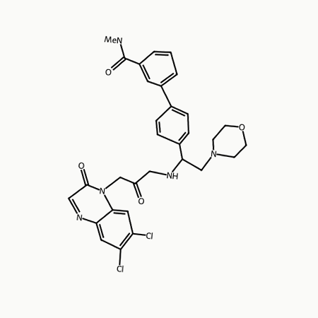 CNC(=O)c1cccc(-c2ccc(C(CN3CCOCC3)NCC(=O)Cn3c(=O)cnc4cc(Cl)c(Cl)cc43)cc2)c1